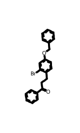 O=C(CCc1ccc(OCc2ccccc2)cc1Br)c1ccccc1